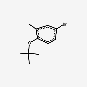 Cc1cc(Br)ccc1OC(C)(C)C